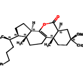 CO[C@@]1(C=O)CC[C@]2(C)C3=C(OC(=O)[C@H]2C1)[C@@H]1CC[C@H]([C@H](C)CCCC(C)C)[C@@]1(C)CC3